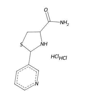 Cl.Cl.NC(=O)C1CSC(c2cccnc2)N1